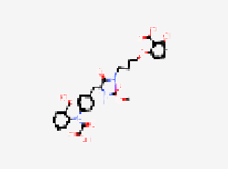 COC(=O)N[C@@H](Cc1ccc(N(C(=O)C(=O)O)c2ccccc2C(=O)O)cc1)C(=O)NCCCCOc1cccc(O)c1C(=O)O